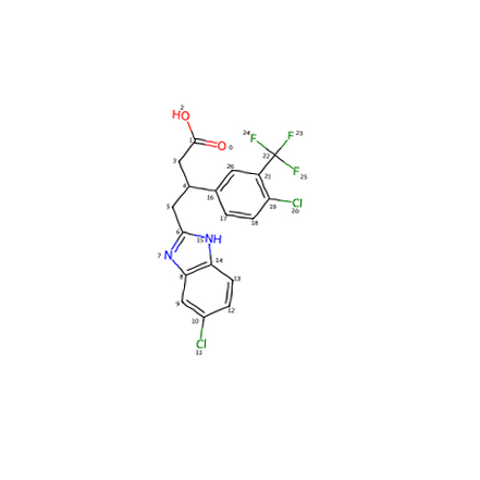 O=C(O)CC(Cc1nc2cc(Cl)ccc2[nH]1)c1ccc(Cl)c(C(F)(F)F)c1